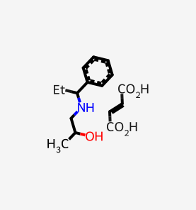 CCC(NCC(C)O)c1ccccc1.O=C(O)C=CC(=O)O